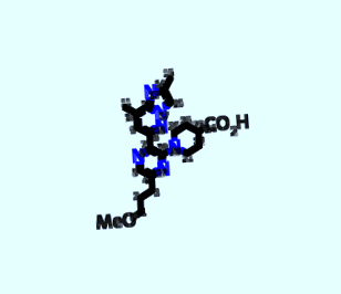 COCCCc1cnc(-c2cc(C)c3nc(C)cn3n2)c(N2CCC(C(=O)O)CC2)n1